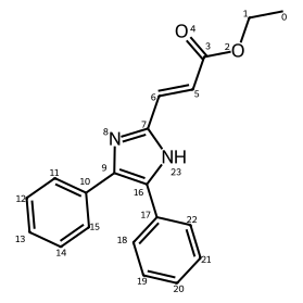 CCOC(=O)/C=C/c1nc(-c2ccccc2)c(-c2ccccc2)[nH]1